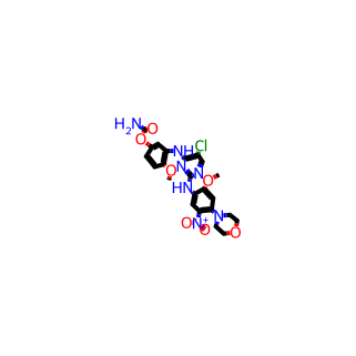 COc1cc(N2CCOCC2)c([N+](=O)[O-])cc1Nc1ncc(Cl)c(Nc2cc(OC(N)=O)ccc2OC)n1